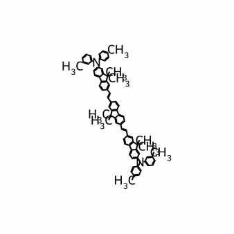 Cc1ccc(N(c2cccc(C)c2)c2ccc3c(c2)C(C)(C)c2cc(/C=C/c4ccc5c(c4)C(C)(C)c4cc(/C=C/c6ccc7c(c6)C(C)(C)c6cc(N(c8ccc(C)cc8)c8cccc(C)c8)ccc6-7)ccc4-5)ccc2-3)cc1